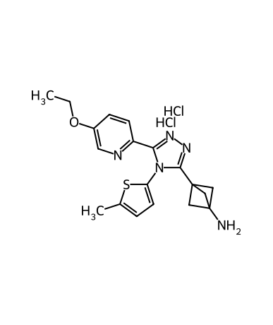 CCOc1ccc(-c2nnc(C34CC(N)(C3)C4)n2-c2ccc(C)s2)nc1.Cl.Cl